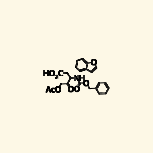 CC(=O)OCC(=O)C(CC(=O)O)NC(=O)OCc1ccccc1.c1ccc2occc2c1